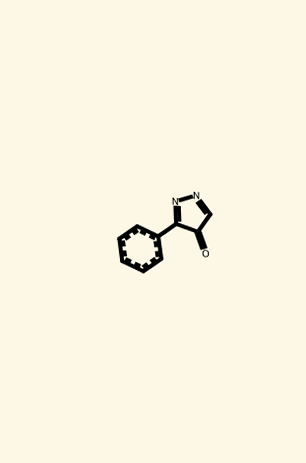 O=C1C=NN=C1c1ccccc1